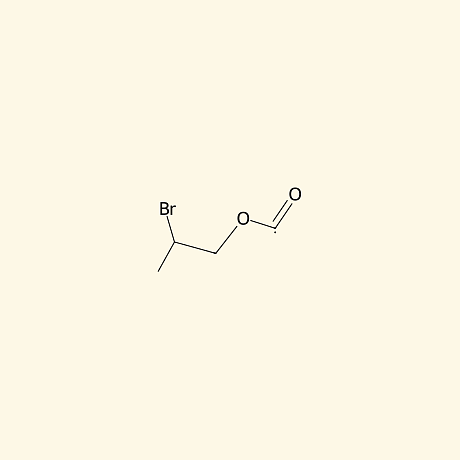 CC(Br)CO[C]=O